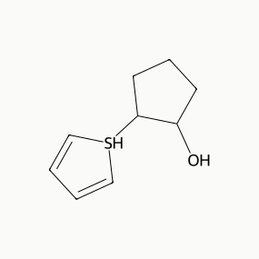 OC1CCCC1[SH]1C=CC=C1